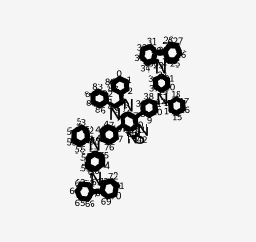 c1ccc(-c2nc3c(-c4ccc(N(c5ccccc5)c5ccc(-n6c7ccccc7c7ccccc76)cc5)cc4)c4nsnc4c(-c4ccc(N(c5ccccc5)c5ccc(-n6c7ccccc7c7ccccc76)cc5)cc4)c3nc2-c2ccccc2)cc1